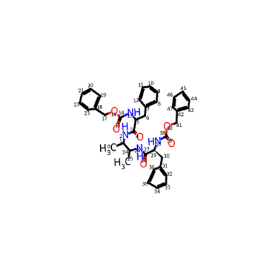 CC(NC(=O)C(Cc1ccccc1)NC(=O)OCc1ccccc1)C(C)NC(=O)[C@H](Cc1ccccc1)NC(=O)OCc1ccccc1